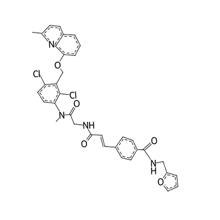 Cc1ccc2cccc(OCc3c(Cl)ccc(N(C)C(=O)CNC(=O)C=Cc4ccc(C(=O)NCc5ccco5)cc4)c3Cl)c2n1